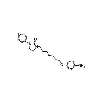 Nc1ccc(OCCCCCCCN2CCN(c3ccncc3)C2=O)cc1